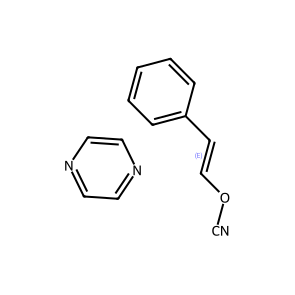 N#CO/C=C/c1ccccc1.c1cnccn1